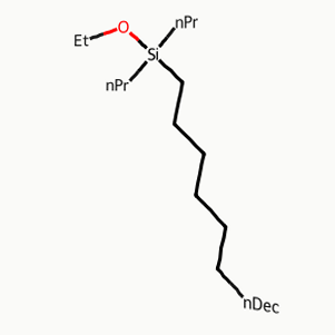 CCCCCCCCCCCCCCCC[Si](CCC)(CCC)OCC